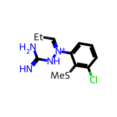 CCC=[N+](NC(=N)N)c1cccc(Cl)c1SC